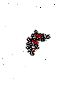 CC1(C)c2ccccc2-c2cccc(-c3ccccc3N(c3ccc(-c4cccc5c6ccccc6n(-c6ccccc6)c45)cc3)c3cccc(-c4cccc5c4C=Cc4ccc(-c6ccc7c(c6)C(C)(C)c6c(-c8ccccc8N(c8cccc(-c9cccc%10c9ccc9ccccc9%10)c8)c8cccc(-c9cccc%10c9c9ccccc9n%10-c9ccccc9)c8)cccc6-7)cc4C5)c3)c21